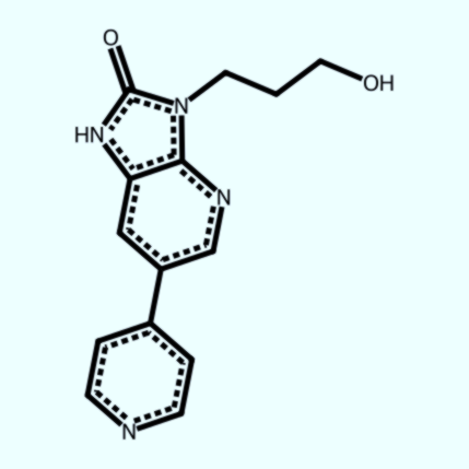 O=c1[nH]c2cc(-c3ccncc3)cnc2n1CCCO